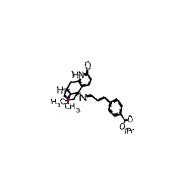 C/C=C1\[C@H]2C=C(C)C[C@]1(N=CC=Cc1ccc(C(=O)OC(C)C)cc1)c1ccc(=O)[nH]c1C2